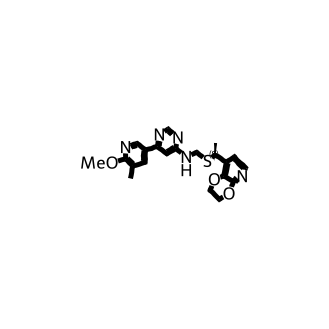 COc1ncc(-c2cc(NCS[C@@H](C)c3ccnc4c3OCCO4)ncn2)cc1C